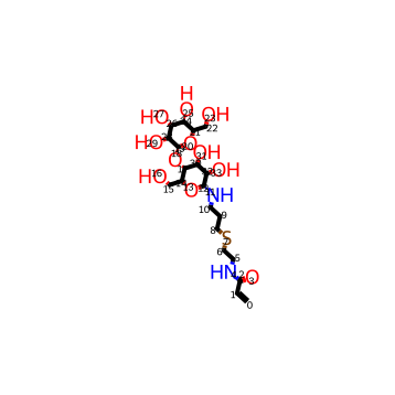 C=CC(=O)NCCSCCCN[C@@H]1OC(CO)[C@@H](O[C@@H]2OC(CO)[C@@H](O)C(O)C2O)C(O)C1O